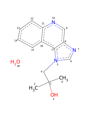 CC(C)(O)Cn1cnc2cnc3ccccc3c21.O